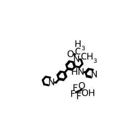 CC(=O)N1c2ccc(-c3ccc(CN4CCCCC4)cc3)cc2[C@@H](Nc2ccncc2)C[C@H]1C.O=C(O)C(F)(F)F